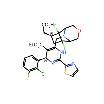 CCOC(=O)C1=C(CN2C3COCC2C2(F)[C@H](CC(=O)O)CC32F)NC(c2nccs2)=N[C@H]1c1cccc(F)c1Cl